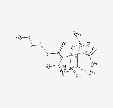 CCCCCC(=O)C(C(=O)O)C(OCC)(C(=O)O)C(CC)(CC)C(=O)O